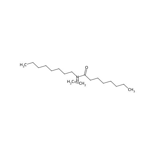 C=C.CCCCCCCCNC(=O)CCCCCCC